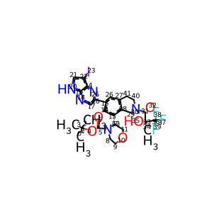 CC(C)(C)OC(=O)N1CCOC[C@H]1c1cc(-c2cnc3[nH]cc(I)c3n2)cc2c1CN(C(=O)C(C)(O)C(F)(F)F)CC2